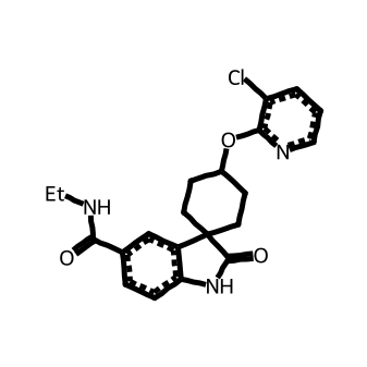 CCNC(=O)c1ccc2c(c1)C1(CCC(Oc3ncccc3Cl)CC1)C(=O)N2